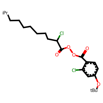 CC(C)CCCCCCCC(Cl)C(=O)OOC(=O)c1ccc(OC(C)(C)C)cc1Cl